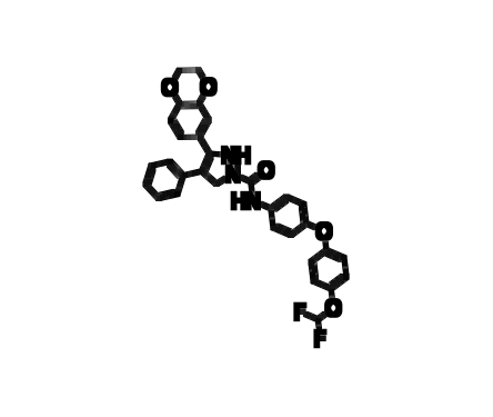 O=C(Nc1ccc(Oc2ccc(OC(F)F)cc2)cc1)N1CC(c2ccccc2)=C(c2ccc3c(c2)OCCO3)N1